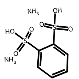 N.N.O=S(=O)(O)c1ccccc1S(=O)(=O)O